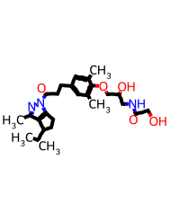 Cc1cc(CCC(=O)n2nc(C)c3c2CCC3C(C)C)cc(C)c1OCC(O)CNC(=O)CO